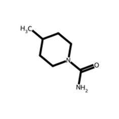 C[C]1CCN(C(N)=O)CC1